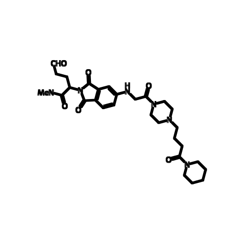 CNC(=O)C(CCC=O)N1C(=O)c2ccc(NCC(=O)N3CCN(CCCC(=O)N4CCCCC4)CC3)cc2C1=O